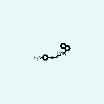 C[C@@H](NC/C=C/C#Cc1ccc(N)cc1)c1cccc2ccccc12